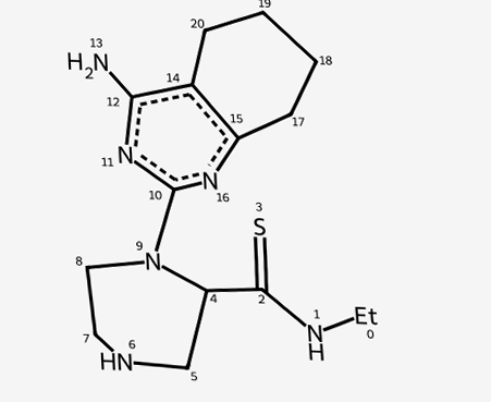 CCNC(=S)C1CNCCN1c1nc(N)c2c(n1)CCCC2